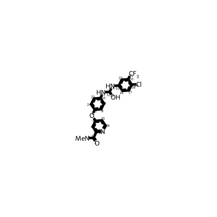 CNC(=O)c1cc(Oc2ccc(NC(O)Nc3ccc(Cl)c(C(F)(F)F)c3)cc2)ccn1